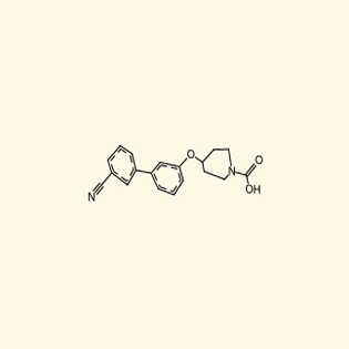 N#Cc1cccc(-c2cccc(OC3CCN(C(=O)O)CC3)c2)c1